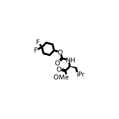 COC(=O)[C@H](CC(C)C)NC(=O)OC1CCC(F)(F)CC1